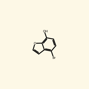 Oc1ccc(Br)c2ccoc12